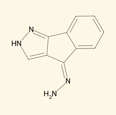 NN=C1c2ccccc2-c2n[nH]cc21